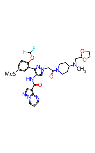 CSc1ccc(OC(F)F)c(-c2nn(CC(=O)N3CCC(N(C)CC4OCCO4)CC3)cc2NC(=O)c2cnn3cccnc23)c1